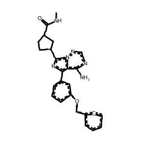 CNC(=O)C1CCC(c2nc(-c3cccc(OCc4ccccc4)c3)c3c(N)ncnn23)C1